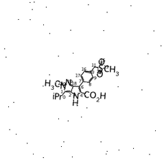 CC(C)c1c2[nH]c(C(=O)O)c(-c3ccc(CS(C)(=O)=O)cc3)c2nn1C